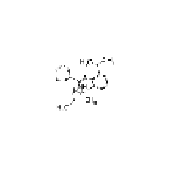 CCCN/C(=N\c1c(C(C)C)cccc1C(C)C)c1ccccc1